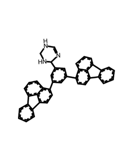 C1=NC(c2cc(-c3ccc4c5c(cccc35)-c3ccccc3-4)cc(-c3ccc4c5c(cccc35)-c3ccccc3-4)c2)NCN1